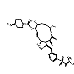 C/C(=C\c1cccc(S(=O)(=O)NC(C)C)c1)[C@H]1C(=O)C(=O)C[C@@H](O)CC[C@@H](C)[C@@H](OC(=O)N2CCN(C)CC2)/C=C/[C@@H]1C